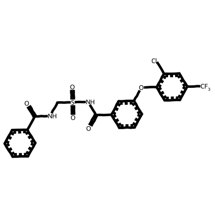 O=C(NCS(=O)(=O)NC(=O)c1cccc(Oc2ccc(C(F)(F)F)cc2Cl)c1)c1ccccc1